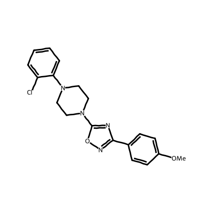 COc1ccc(-c2noc(N3CCN(c4ccccc4Cl)CC3)n2)cc1